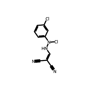 N#CC(C#N)=CNN(Cl)c1cccc(Cl)c1